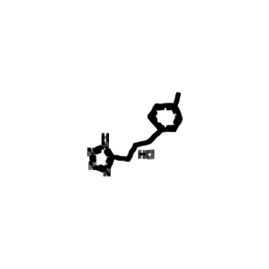 Cc1ccc(CCCc2nnn[nH]2)cc1.Cl